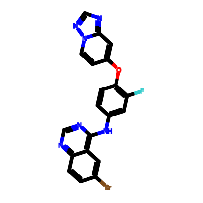 Fc1cc(Nc2ncnc3ccc(Br)cc23)ccc1Oc1ccn2ncnc2c1